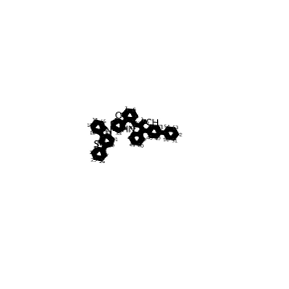 CCC(Cc1cccc2oc3cc(-n4c5ccccc5c5c6sc7ccccc7c6ccc54)ccc3c12)/C(=C1/C=CC=CC1=N)c1ccc(-c2ccccc2)cc1